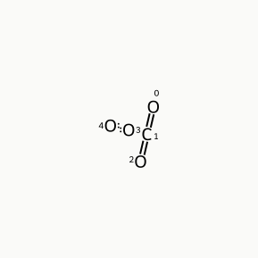 O=C=O.[O].[O]